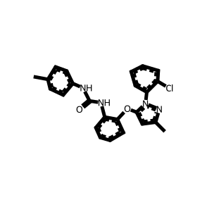 Cc1ccc(NC(=O)Nc2ccccc2Oc2cc(C)nn2-c2ccccc2Cl)cc1